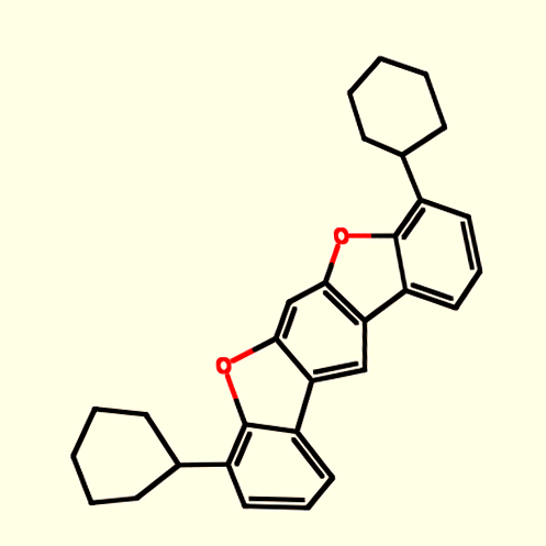 c1cc(C2CCCCC2)c2oc3cc4oc5c(C6CCCCC6)cccc5c4cc3c2c1